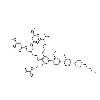 C=C(C)C(=O)OCCCc1cc(-c2ccc(-c3ccc(C4CCC(CCCCC)CC4)cc3F)cc2CC)cc(CCCOC(=O)C(=C)C)c1OCCC(COC(=O)CC(=O)OC)COC(=O)CC(=O)OC